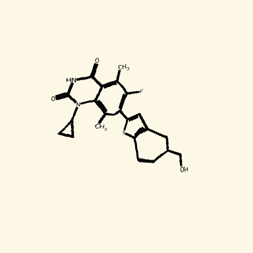 Cc1c(F)c(-c2cc3c(s2)CCC(CO)C3)c(C)c2c1c(=O)[nH]c(=O)n2C1CC1